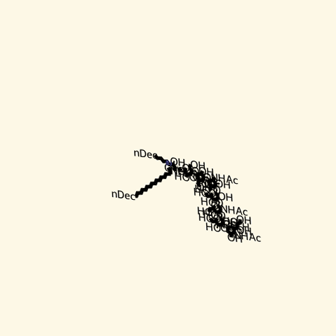 CCCCCCCCCCCCC/C=C/[C@@H](O)[C@H](CO[C@@H]1OC(CO)[C@@H](O[C@@H]2OC(CO)[C@H](O)[C@H](O[C@@H]3OC(CO)[C@@H](O[C@@H]4OC(CO)[C@H](O)[C@H](O[C@@H]5OC(CO)[C@@H](O)[C@H](O[C@@H]6OC(CO)[C@H](O)[C@H](O[C@]7(C(=O)O)CC(O)[C@@H](NC(C)=O)C([C@H](O)[C@H](O)CO)O7)C6O)C5NC(C)=O)C4O)[C@H](O)C3NC(C)=O)C2O)[C@H](O)C1O)NC(=O)CCCCCCCCCCCCCCCCCCCCCCCCC